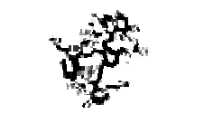 COCCn1ccc(=O)c(O)c1C(CCc1ccc(CNC(=O)O)c(CCC(NC(=O)O)c2c(O)c(=O)ccn2CCOC)c1CCC(NC(=O)O)c1c(O)c(=O)ccn1CCOC)NC(=O)O